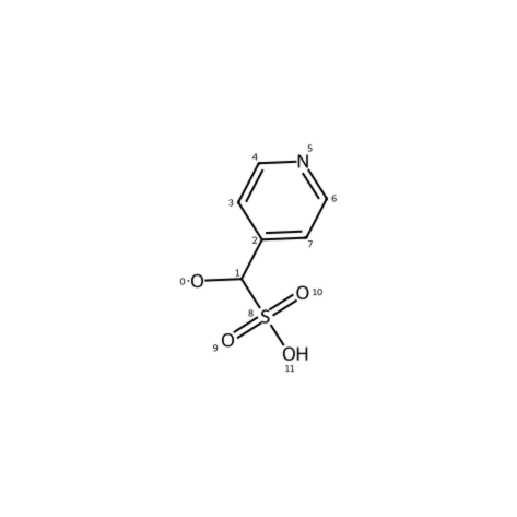 [O]C(c1ccncc1)S(=O)(=O)O